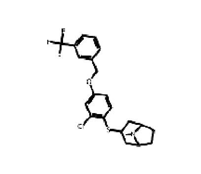 CN1C2CCC1CC(Sc1ccc(OCc3cccc(C(F)(F)F)c3)cc1Cl)C2